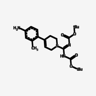 Cc1cc(N)ccc1C1=CCN(/C(=N\C(=O)OC(C)(C)C)NC(=O)OC(C)(C)C)CC1